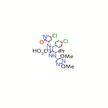 COc1ncc(-n2nc(C(=O)O)c(C(Nc3cc(Cl)cn(C)c3=O)c3ccc(Cl)cc3)c2C(C)C)c(OC)n1